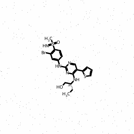 CC[C@H](CO)Nc1nc(Nc2ccc(S(C)(=N)=O)c(Br)c2)ncc1-c1cccs1